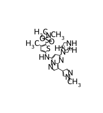 Cc1cc(Nc2cc(N3C[C@@H]4C[C@H]3CN4)nc3c(-c4cnn(C)c4)cnn23)sc1S(=O)(=O)N(C)C